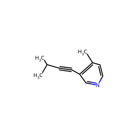 Cc1ccncc1C#CC(C)C